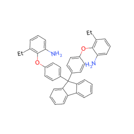 CCc1cccc(N)c1Oc1ccc(C2(c3ccc(Oc4c(N)cccc4CC)cc3)c3ccccc3-c3ccccc32)cc1